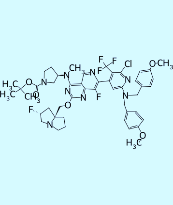 COc1ccc(CN(Cc2ccc(OC)cc2)c2cc(-c3ncc4c(N(C)[C@@H]5CCN(C(=O)OC(C)(C)C)C5)nc(OC[C@@]56CCCN5C[C@H](F)C6)nc4c3F)c(C(F)(F)F)c(Cl)n2)cc1